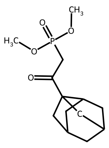 COP(=O)(CC(=O)C12CC3CC(CC1C3)C2)OC